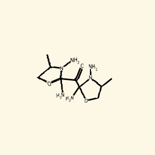 CC1COC(N)(C(=O)C2(N)OCC(C)N2N)N1N